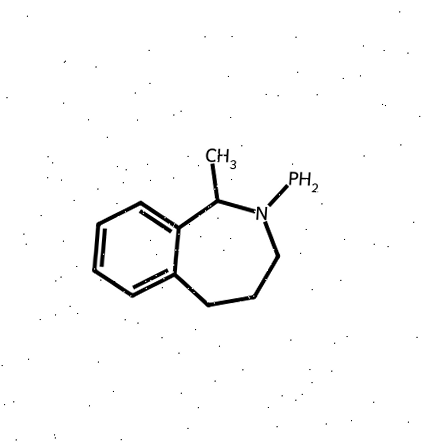 CC1c2ccccc2CCCN1P